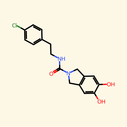 O=C(NCCc1ccc(Cl)cc1)N1Cc2cc(O)c(O)cc2C1